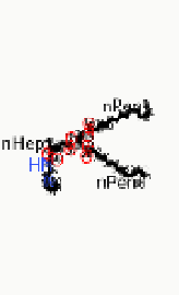 CCCCC/C=C\C/C=C\CCCCCCCC(=O)OCC(COC(=O)CCCCCCC/C=C\C/C=C\CCCCC)OC(=O)CCC(CCCCCCC)OC(=O)NCCN1CCCC1